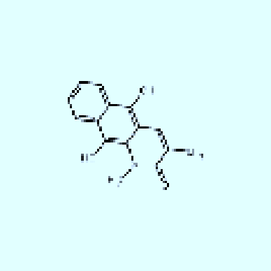 CSc1c(/C=C(/C)C=O)c(O)c2ccccc2c1O